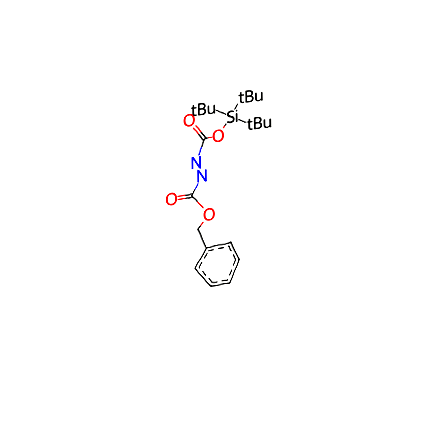 CC(C)(C)[Si](OC(=O)/N=N/C(=O)OCc1ccccc1)(C(C)(C)C)C(C)(C)C